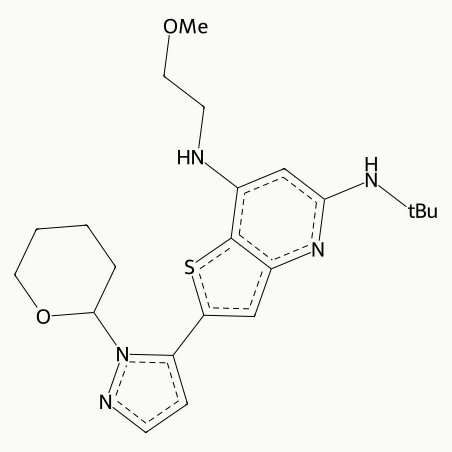 COCCNc1cc(NC(C)(C)C)nc2cc(-c3ccnn3C3CCCCO3)sc12